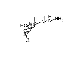 CC(C)CCC[C@@H](C)[C@H]1CCC2C3C(CC[C@@]21C)[C@@]1(C)CC[C@@H](NCCCNCCCNCCCN)C[C@H]1C[C@H]3O